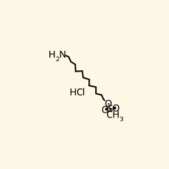 CS(=O)(=O)OCCCCCCCCCCCCN.Cl